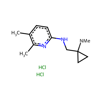 CNC1(CNc2ccc(C)c(C)n2)CC1.Cl.Cl